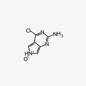 Nc1nc(Cl)c2c(n1)=C[NH+]([O-])C=2